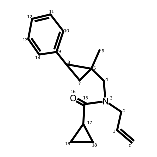 C=CCN(CC1(C)CC1c1ccccc1)C(=O)C1CC1